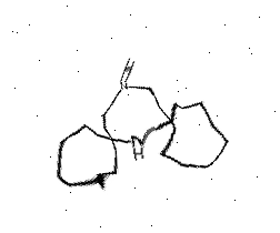 C1CCC2(CC1)CNCC1(CCCCC1)N2